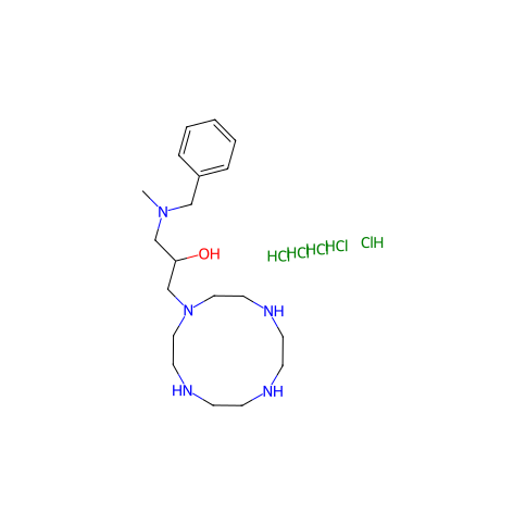 CN(Cc1ccccc1)CC(O)CN1CCNCCNCCNCC1.Cl.Cl.Cl.Cl.Cl